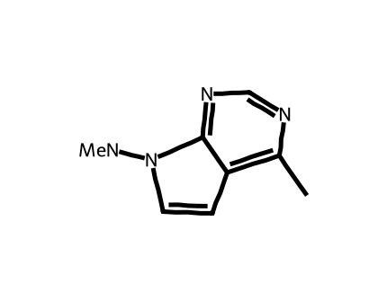 CNn1ccc2c(C)ncnc21